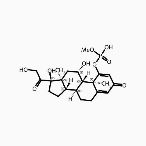 COP(=O)(O)OC1=CC(=O)C=C2CC[C@@H]3[C@H]([C@@H](O)C[C@@]4(C)[C@H]3CC[C@]4(O)C(=O)CO)[C@]21C